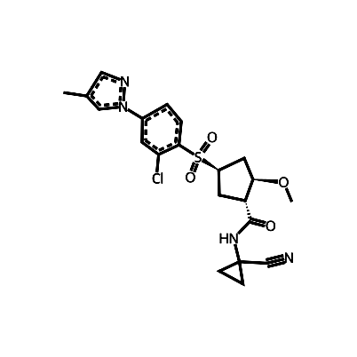 CO[C@@H]1C[C@H](S(=O)(=O)c2ccc(-n3cc(C)cn3)cc2Cl)C[C@H]1C(=O)NC1(C#N)CC1